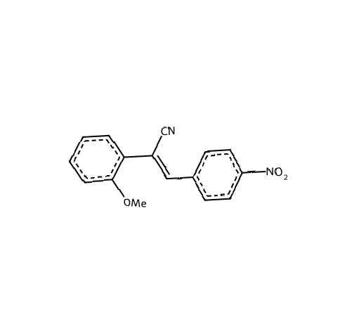 COc1ccccc1C(C#N)=Cc1ccc([N+](=O)[O-])cc1